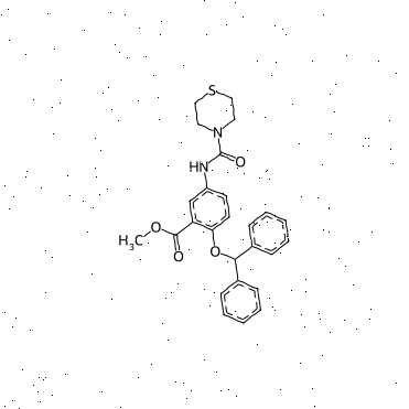 COC(=O)c1cc(NC(=O)N2CCSCC2)ccc1OC(c1ccccc1)c1ccccc1